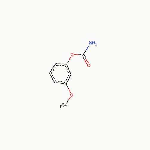 CCCCOc1cccc(OC(N)=O)c1